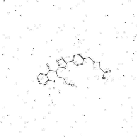 CCCCN(C(=O)c1ccccc1F)c1nnc(-c2ccc(CN3CC(C(N)=O)C3)cc2)s1